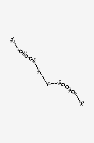 C=C(CCCCCCCCCCC(=O)OCCCCCCOC(=O)c1ccc(-c2ccc(OC(=O)c3ccc(OCCCCCCOC(=O)C(=C)C)cc3)cc2)cc1)OCCCCCCOC(=O)c1ccc(-c2ccc(OC(=O)c3ccc(OCCCCCCOC(=O)C(=C)C)cc3)cc2)cc1